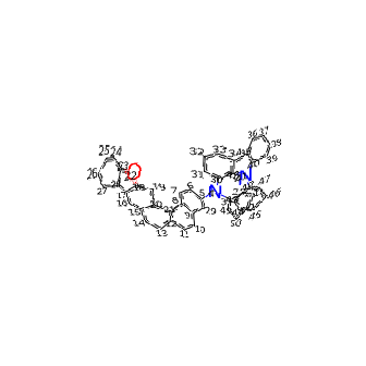 c1ccc(N(c2ccc3c(ccc4ccc5cc6c(cc5c43)oc3ccccc36)c2)c2cccc3c4ccccc4n(-c4ccccc4)c23)cc1